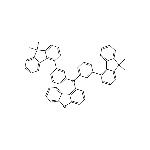 CC1(C)c2ccccc2-c2c(-c3cccc(N(c4cccc(-c5cccc6c5-c5ccccc5C6(C)C)c4)c4cccc5oc6ccccc6c45)c3)cccc21